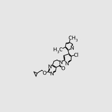 Cc1cnc(-c2cc(N3CCc4nc(OCC5CC5)ncc4C3=O)ncc2Cl)c(C)c1